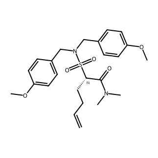 C=CCC[C@@H](C(=O)N(C)C)S(=O)(=O)N(Cc1ccc(OC)cc1)Cc1ccc(OC)cc1